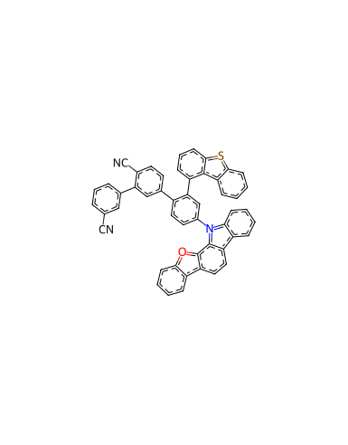 N#Cc1cccc(-c2cc(-c3ccc(-n4c5ccccc5c5ccc6c7ccccc7oc6c54)cc3-c3cccc4sc5ccccc5c34)ccc2C#N)c1